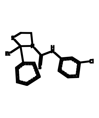 CCC1(c2ccccc2)SCCN1C(=S)Nc1cccc(Cl)c1